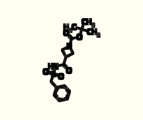 CC(C)(C)OC(=O)N1CC(C(=O)NS(=O)(=O)Cc2ccccc2)C1